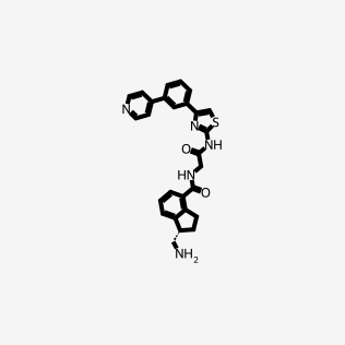 NC[C@H]1CCc2c(C(=O)NCC(=O)Nc3nc(-c4cccc(-c5ccncc5)c4)cs3)cccc21